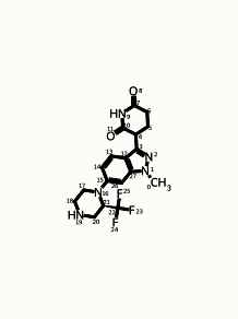 Cn1nc(C2CCC(=O)NC2=O)c2ccc(N3CCNC[C@@H]3C(F)(F)F)cc21